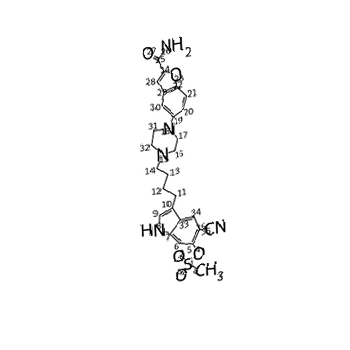 CS(=O)(=O)Oc1cc2[nH]cc(CCCCN3CCN(c4ccc5oc(C(N)=O)cc5c4)CC3)c2cc1C#N